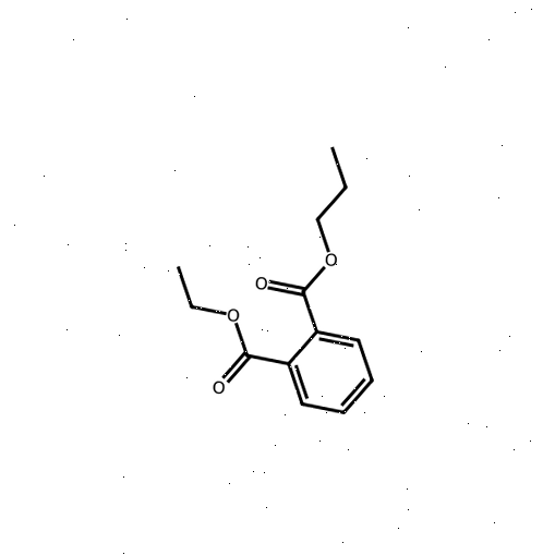 CCCOC(=O)c1ccccc1C(=O)OCC